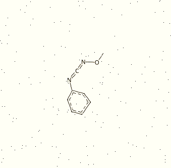 CON=C=Nc1ccccc1